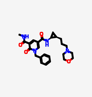 CNC(=O)c1cc(C(=O)N[C@@H]2C[C@H]2CCCN2CCOCC2)cn(Cc2ccccc2)c1=O